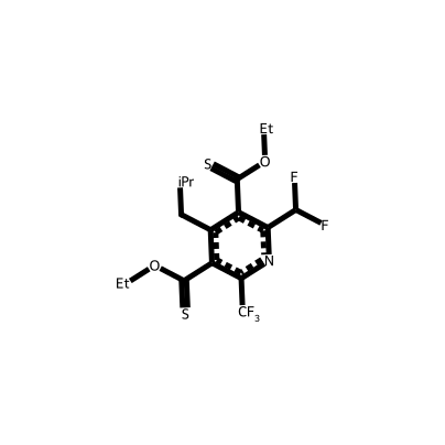 CCOC(=S)c1c(C(F)F)nc(C(F)(F)F)c(C(=S)OCC)c1CC(C)C